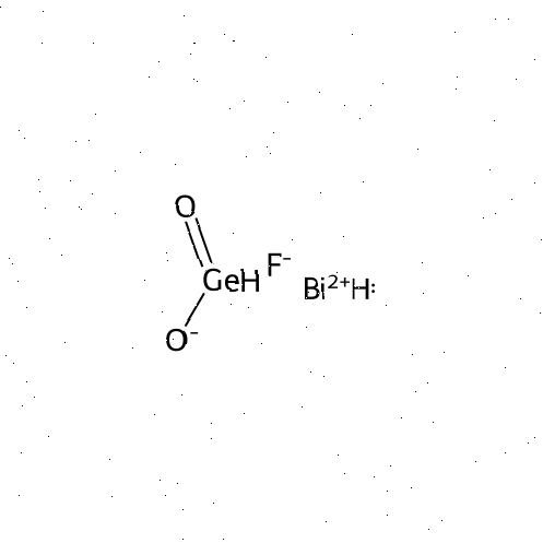 [BiH+2].[F-].[O]=[GeH][O-]